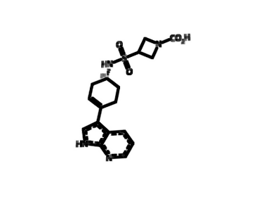 O=C(O)N1CC(S(=O)(=O)N[C@H]2CC=C(c3c[nH]c4ncccc34)CC2)C1